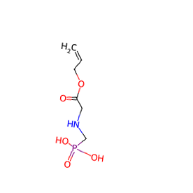 C=CCOC(=O)CNCP(=O)(O)O